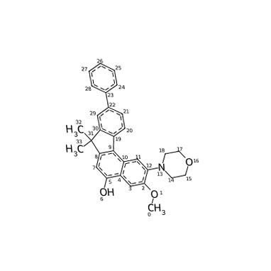 COc1cc2c(O)cc3c(c2cc1N1CCOCC1)-c1ccc(-c2ccccc2)cc1C3(C)C